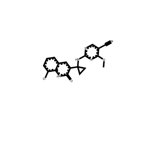 COc1nc(NC2(c3cc4cccc(Cl)c4[nH]c3=O)CC2)ncc1C#N